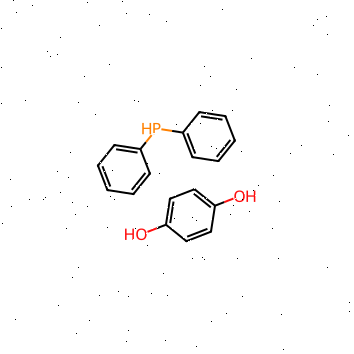 Oc1ccc(O)cc1.c1ccc(Pc2ccccc2)cc1